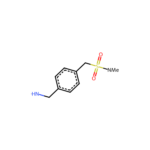 CNS(=O)(=O)Cc1ccc(C[NH])cc1